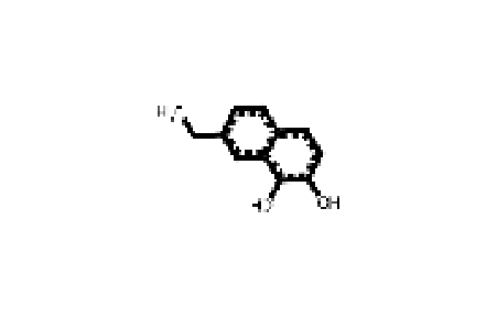 CCc1ccc2ccc(O)c(O)c2c1